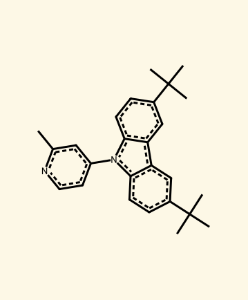 Cc1cc(-n2c3ccc(C(C)(C)C)cc3c3cc(C(C)(C)C)ccc32)ccn1